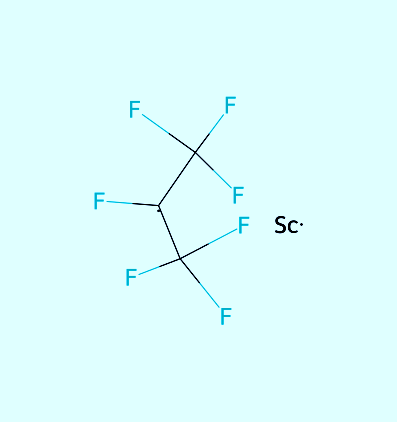 F[C](C(F)(F)F)C(F)(F)F.[Sc]